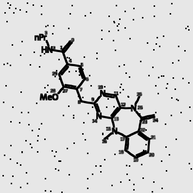 C=C(NCCC)c1ccc(Cc2ncc3c(n2)N(C)c2ccccc2C(=C)N3C)c(OC)c1